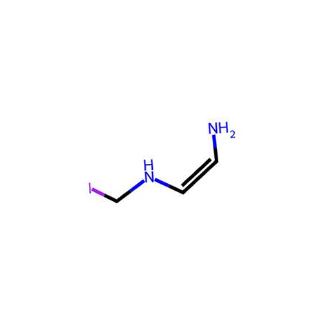 N/C=C\NCI